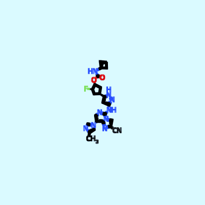 Cc1cn(-c2cnc(Nc3cc([C@H]4C[C@@H](F)[C@@H](OC(=O)NC56CC(C5)C6)C4)[nH]n3)n3cc(C#N)nc23)cn1